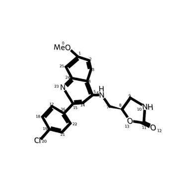 COc1ccc2c(NC[C@H]3CNC(=O)O3)cc(-c3ccc(Cl)cc3)nc2c1